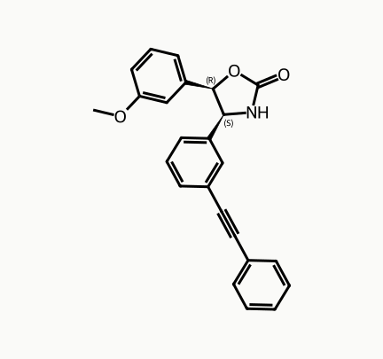 COc1cccc([C@H]2OC(=O)N[C@H]2c2cccc(C#Cc3ccccc3)c2)c1